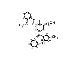 COc1ccccc1CC[C@H]1CN(C2=Nc3ccccc3Nc3sc(C)cc32)CCN1.Cl.Cl